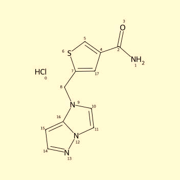 Cl.NC(=O)c1csc(Cn2ccn3nccc23)c1